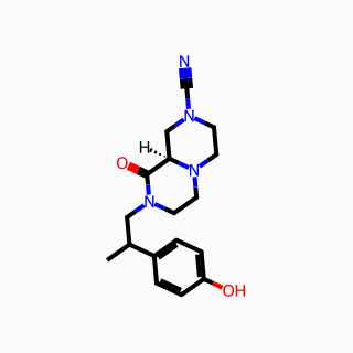 CC(CN1CCN2CCN(C#N)C[C@@H]2C1=O)c1ccc(O)cc1